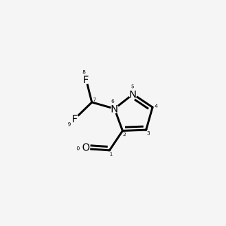 O=Cc1ccnn1C(F)F